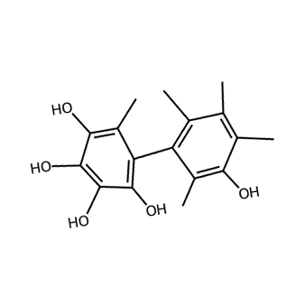 Cc1c(C)c(O)c(C)c(-c2c(C)c(O)c(O)c(O)c2O)c1C